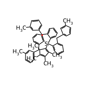 CC1=C(C)C(C)C([Si](c2ccccc2Cc2cccc(C)c2)(c2ccccc2Cc2cccc(C)c2)c2ccccc2Cc2cccc(C)c2)=C1C